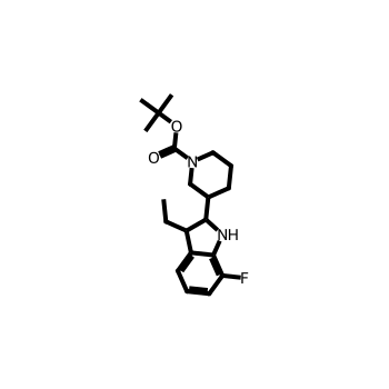 CCC1c2cccc(F)c2NC1C1CCCN(C(=O)OC(C)(C)C)C1